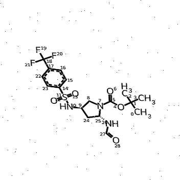 CC(C)(C)OC(=O)N1C[C@H](NS(=O)(=O)c2ccc(C(F)(F)F)cc2)C[C@H]1NC=O